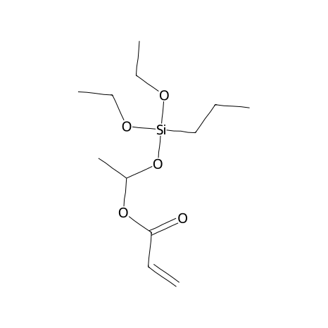 C=CC(=O)OC(C)O[Si](CCC)(OCC)OCC